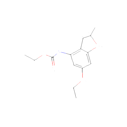 CCOC(=O)Nc1cc(OCC)cc2c1CC(C)O2